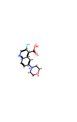 O=C(O)c1c(F)cnc2ccc(N3CCOCC3)cc12